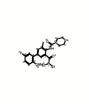 CCN(CC)C(=O)c1cc(-c2cc(F)ccc2OC)cc(C)c1NC(=O)N1CCOCC1